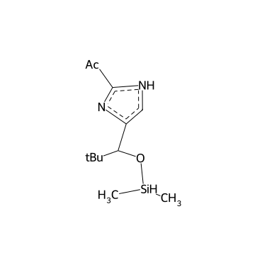 CC(=O)c1nc(C(O[SiH](C)C)C(C)(C)C)c[nH]1